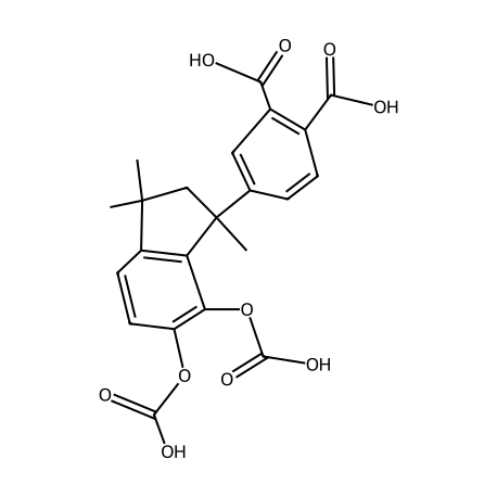 CC1(C)CC(C)(c2ccc(C(=O)O)c(C(=O)O)c2)c2c1ccc(OC(=O)O)c2OC(=O)O